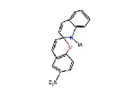 CCN1c2ccccc2C=CC12C=Cc1cc([N+](=O)[O-])ccc1O2